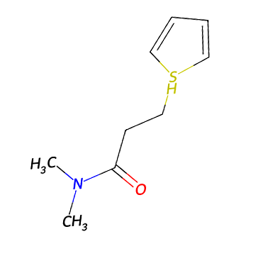 CN(C)C(=O)CC[SH]1C=CC=C1